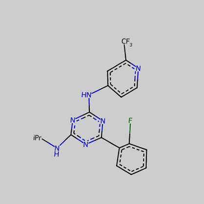 CC(C)Nc1nc(Nc2ccnc(C(F)(F)F)c2)nc(-c2ccccc2F)n1